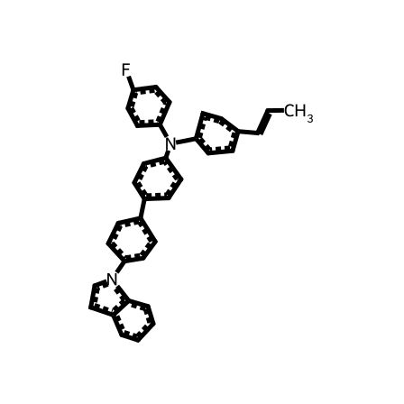 C/C=C/c1ccc(N(c2ccc(F)cc2)c2ccc(-c3ccc(-n4ccc5ccccc54)cc3)cc2)cc1